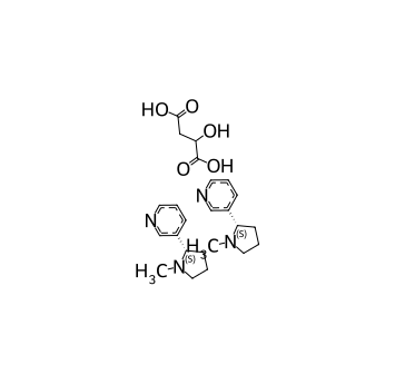 CN1CCC[C@H]1c1cccnc1.CN1CCC[C@H]1c1cccnc1.O=C(O)CC(O)C(=O)O